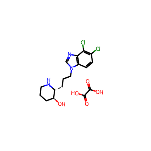 O=C(O)C(=O)O.O[C@H]1CCCN[C@@H]1CCCn1cnc2c(Cl)c(Cl)ccc21